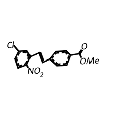 COC(=O)c1ccc(C=Cc2cc(Cl)ccc2[N+](=O)[O-])cc1